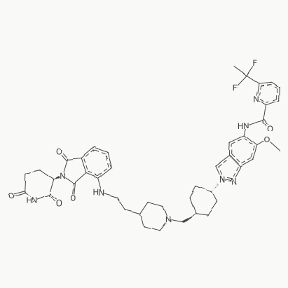 COc1cc2nn([C@H]3CC[C@H](CN4CCC(CCNc5cccc6c5C(=O)N([C@@H]5CCC(=O)NC5=O)C6=O)CC4)CC3)cc2cc1NC(=O)c1cccc(C(C)(F)F)n1